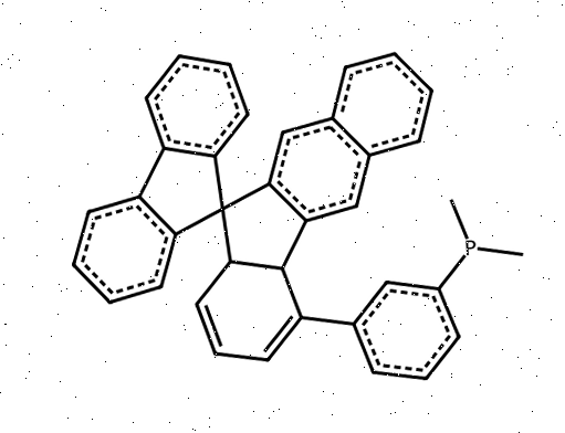 CP(C)c1cccc(C2=CC=CC3C2c2cc4ccccc4cc2C32c3ccccc3-c3ccccc32)c1